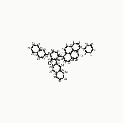 c1ccc(-c2ccc3ccc4c(-c5ccc(-c6ccc7ccccc7c6)c6oc7cc8ccccc8cc7c56)ccc5ccc2c3c54)cc1